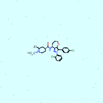 CCC1CC(C(=O)NC2CCCOc3c2nn(-c2ccccc2Cl)c3-c2ccc(Cl)cc2)CCN1C(=O)O